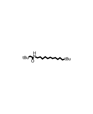 CC(C)(C)CCCCCCCCCCCNC(=O)CC(C)(C)C